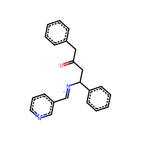 O=C(Cc1ccccc1)CC(/N=C/c1cccnc1)c1ccccc1